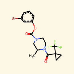 CC1CN(C(=O)Oc2cccc(Br)c2)CCN1C(=O)C1(C(F)(F)F)CC1